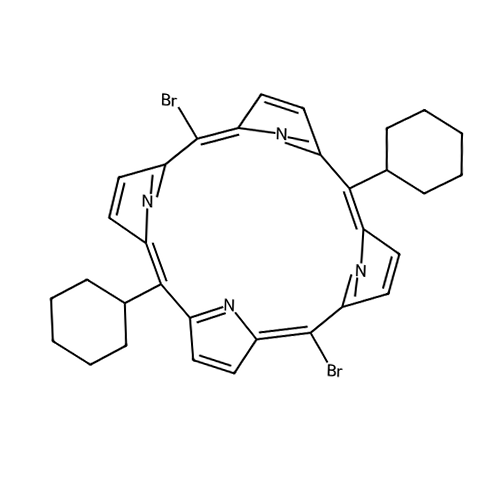 BrC1=C2C=CC(=N2)C(C2CCCCC2)=C2C=CC(=N2)C(Br)=C2C=CC(=N2)C(C2CCCCC2)=C2C=CC1=N2